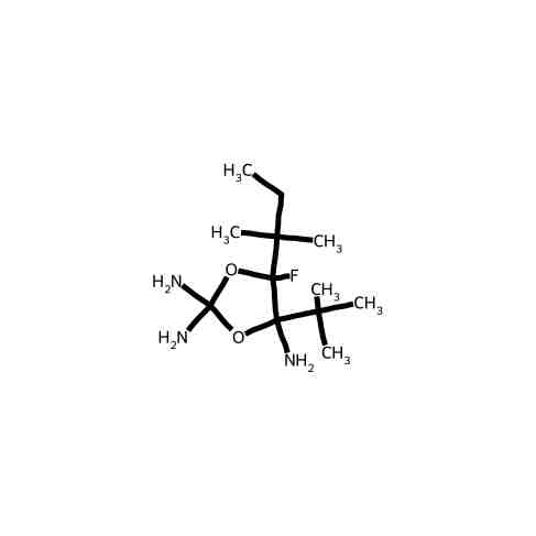 CCC(C)(C)C1(F)OC(N)(N)OC1(N)C(C)(C)C